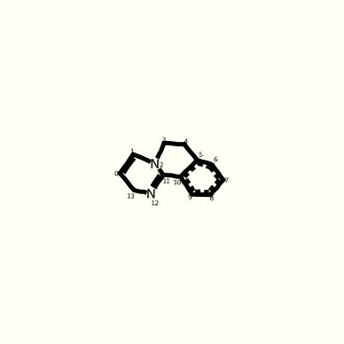 C1=CN2CCc3ccccc3C2=NC1